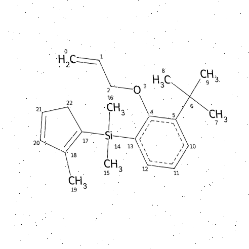 C=CCOc1c(C(C)(C)C)cccc1[Si](C)(C)C1=C(C)C=CC1